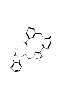 Nc1nc2ccccc2n1CCn1cc(-c2ccc(=O)n(Cc3cccc(C(=O)O)c3)n2)cn1.[LiH]